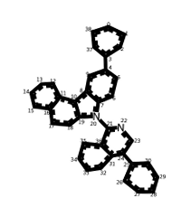 c1ccc(-c2ccc3c(c2)c2c4ccccc4ccc2n3-c2ncc(-c3ccccc3)c3ccccc23)cc1